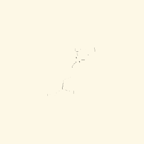 O=C(O)NCCCC(S)S